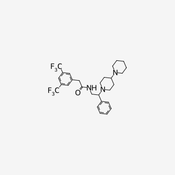 O=C(Cc1cc(C(F)(F)F)cc(C(F)(F)F)c1)NCC(c1ccccc1)N1CCC(N2CCCCC2)CC1